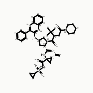 C=C[C@@H]1C[C@]1(NC(=O)[C@@H]1C[C@@H](Oc2nc3ccccc3nc2-c2ccccc2)CN1C(=O)C(CC(=O)N1CCCCC1)C(C)(C)C)C(=O)NS(=O)(=O)C1CC1